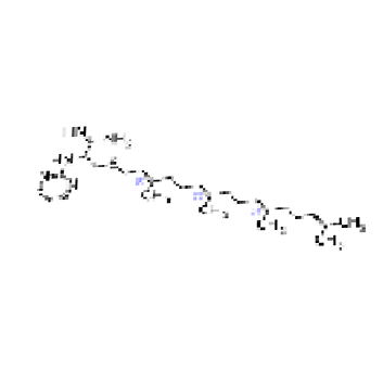 CC(C)=CCC/C(C)=C/CC/C(C)=C/CC/C(C)=C/CSCC(Nc1ncccn1)C(=N)N